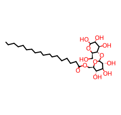 CCCCCCCCCCCCCCCCCC(=O)OC[C@H]1O[C@@H](O[C@H]2[C@H](O)[C@@H](O)[C@H](O)O[C@@H]2CO)[C@H](O)[C@@H](O)[C@@H]1O